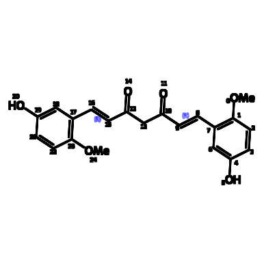 COc1ccc(O)cc1/C=C/C(=O)CC(=O)/C=C/c1cc(O)ccc1OC